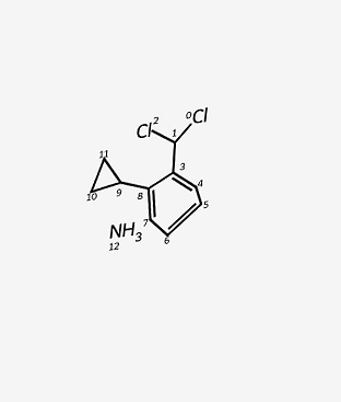 ClC(Cl)c1ccccc1C1CC1.N